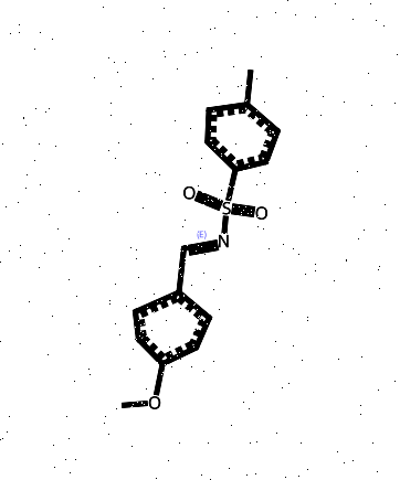 COc1ccc(/C=N/S(=O)(=O)c2ccc(C)cc2)cc1